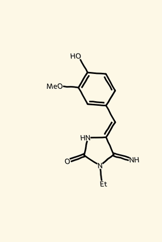 CCN1C(=N)C(=Cc2ccc(O)c(OC)c2)NC1=O